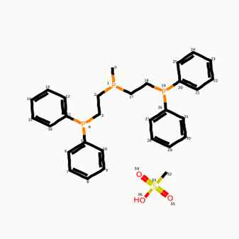 CP(CCP(c1ccccc1)c1ccccc1)CCP(c1ccccc1)c1ccccc1.CS(=O)(=O)O